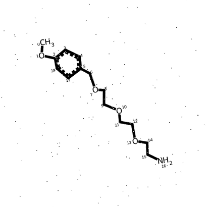 COc1ccc(COCCOCCOCCN)cc1